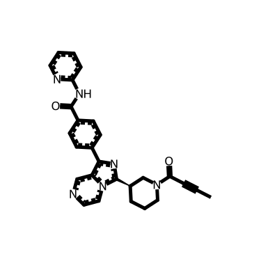 CC#CC(=O)N1CCC[C@@H](c2nc(-c3ccc(C(=O)Nc4ccccn4)cc3)c3cnccn23)C1